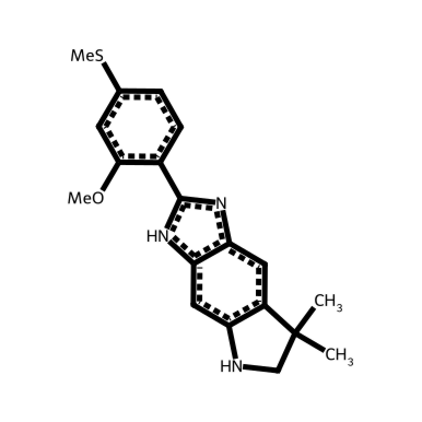 COc1cc(SC)ccc1-c1nc2cc3c(cc2[nH]1)NCC3(C)C